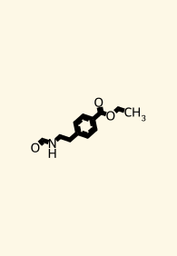 CCOC(=O)c1ccc(CCNC=O)cc1